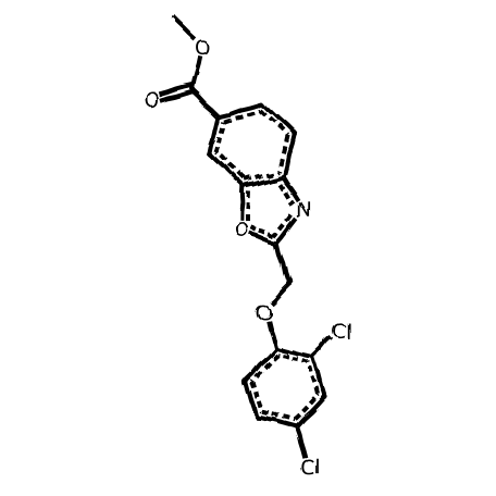 COC(=O)c1ccc2nc(COc3ccc(Cl)cc3Cl)oc2c1